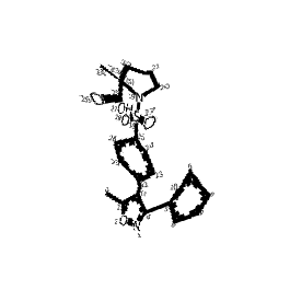 Cc1onc(-c2ccccc2)c1-c1ccc(S(=O)(=O)N2CCC[C@@]2(C)C(=O)O)cc1